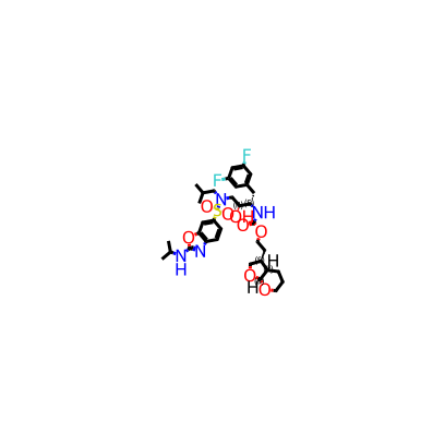 CC(C)CN(C[C@@H](O)[C@H](Cc1cc(F)cc(F)c1)NC(=O)OCC[C@@H]1CO[C@@H]2OCCC[C@H]12)S(=O)(=O)c1ccc2nc(NC(C)C)oc2c1